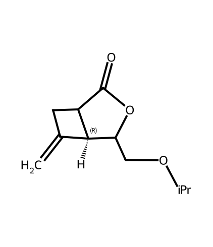 C=C1CC2C(=O)OC(COC(C)C)[C@@H]12